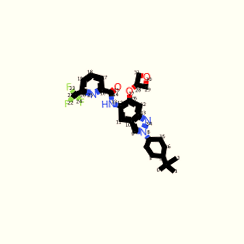 CC(C)(C)C1CCC(n2cc3cc(NC(=O)c4cccc(C(F)(F)F)n4)c(OC4COC4)cc3n2)CC1